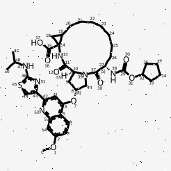 COc1ccc2c(O[C@@H]3C[C@H]4C(=O)NC5(C(=O)O)CC5CCCCCCC[C@H](NC(=O)OC5CCCC5)C(=O)N4C3)cc(-c3csc(NC(C)C)n3)nc2c1